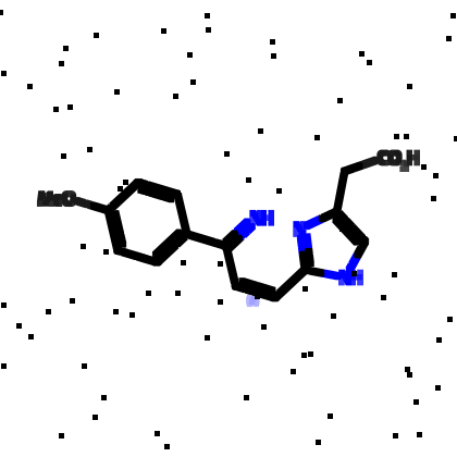 COc1ccc(C(=N)/C=C\c2nc(CC(=O)O)c[nH]2)cc1